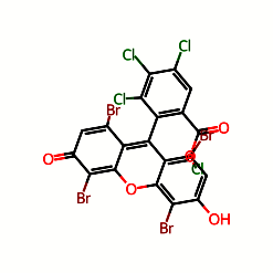 O=C(OCl)c1cc(Cl)c(Cl)c(Cl)c1-c1c2c(Br)cc(=O)c(Br)c-2oc2c(Br)c(O)cc(Br)c12